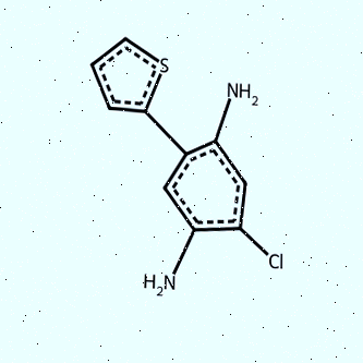 Nc1cc(-c2cccs2)c(N)cc1Cl